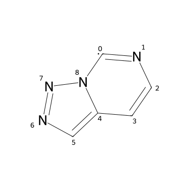 [c]1nccc2cnnn12